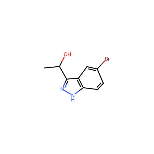 CC(O)c1n[nH]c2ccc(Br)cc12